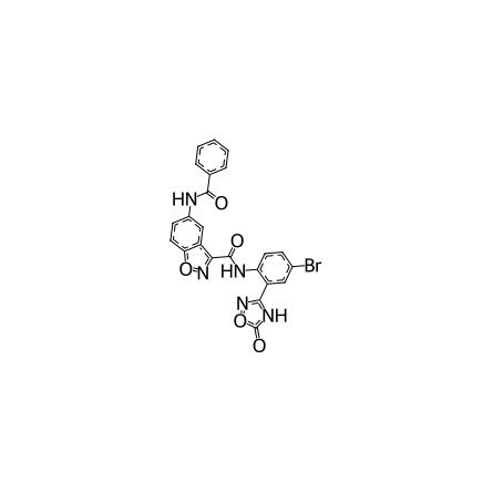 O=C(Nc1ccc2onc(C(=O)Nc3ccc(Br)cc3-c3noc(=O)[nH]3)c2c1)c1ccccc1